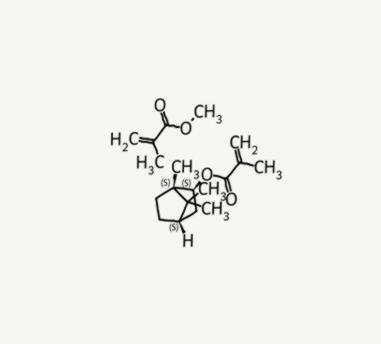 C=C(C)C(=O)OC.C=C(C)C(=O)O[C@H]1C[C@@H]2CC[C@@]1(C)C2(C)C